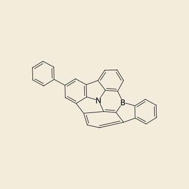 c1ccc(-c2cc3c4cccc5c4n4c6c7c(ccc6c(c2)c34)-c2ccccc2B57)cc1